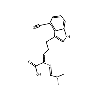 CN(C)C=NC(=CCCc1c[nH]c2cccc(C#N)c12)C(=O)O